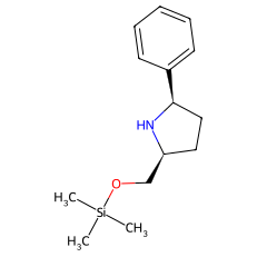 C[Si](C)(C)OC[C@@H]1CC[C@H](c2ccccc2)N1